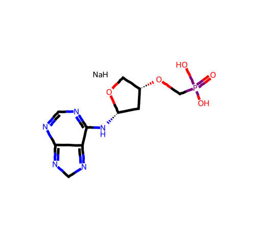 O=P(O)(O)CO[C@H]1CO[C@@H](Nc2ncnc3c2=NCN=3)C1.[NaH]